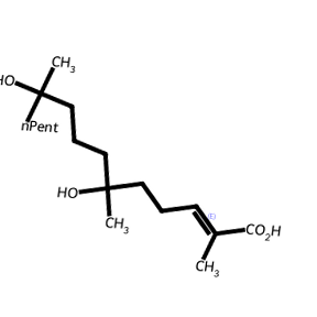 CCCCCC(C)(O)CCCC(C)(O)CC/C=C(\C)C(=O)O